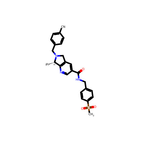 CC(C)[C@H]1c2ncc(C(=O)NCc3ccc(S(C)(=O)=O)cc3)cc2CN1Cc1ccc(C#N)cc1